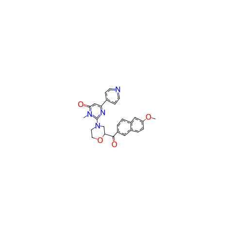 COc1ccc2cc(C(=O)C3CN(c4nc(-c5ccncc5)cc(=O)n4C)CCO3)ccc2c1